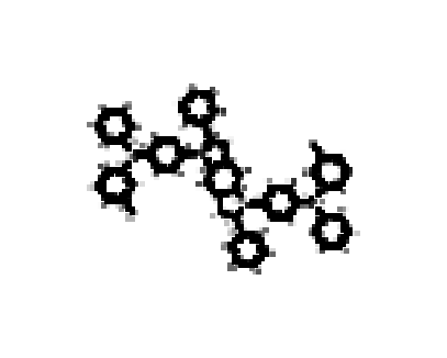 Cc1cccc(N(c2ccccc2)c2ccc(N3c4cc5cc(-c6ccccc6)n(-c6ccc(N(c7ccccc7)c7cccc(C)c7)cc6)c5cc4CC3c3ccccc3)cc2)c1